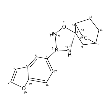 c1cc2cc(N3NO[C@@]4(CC5CCC4CC5)N3)ccc2o1